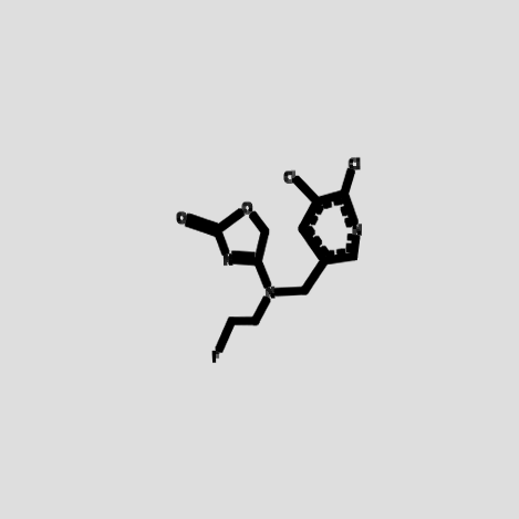 O=C1N=C(N(CCF)Cc2cnc(Cl)c(Cl)c2)CO1